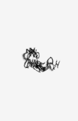 CCCCc1cccc(Oc2nnnn2CC(=O)C(CC(=O)O)NC(=O)OCc2ccccc2)c1